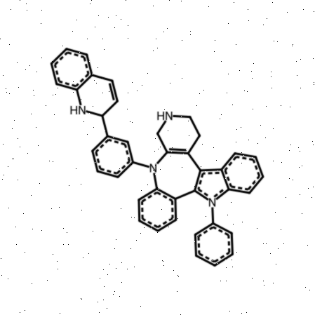 C1=CC(c2cccc(N3C4=C(CCNC4)c4c(n(-c5ccccc5)c5ccccc45)-c4ccccc43)c2)Nc2ccccc21